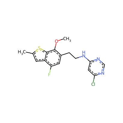 COc1c(CCNc2cc(Cl)ncn2)cc(F)c2cc(C)sc12